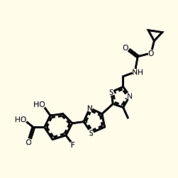 Cc1nc(CNC(=O)OC2CC2)sc1-c1csc(-c2cc(O)c(C(=O)O)cc2F)n1